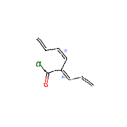 C=C/C=C\C(=C/C=C)C(=O)Cl